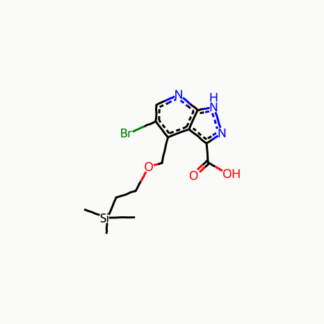 C[Si](C)(C)CCOCc1c(Br)cnc2[nH]nc(C(=O)O)c12